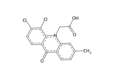 Cc1ccc2c(=O)c3ccc(Cl)c(Cl)c3n(CC(=O)O)c2c1